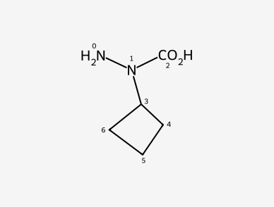 NN(C(=O)O)C1CCC1